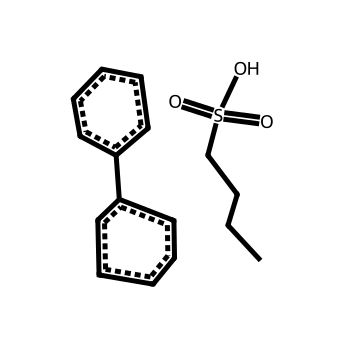 CCCCS(=O)(=O)O.c1ccc(-c2ccccc2)cc1